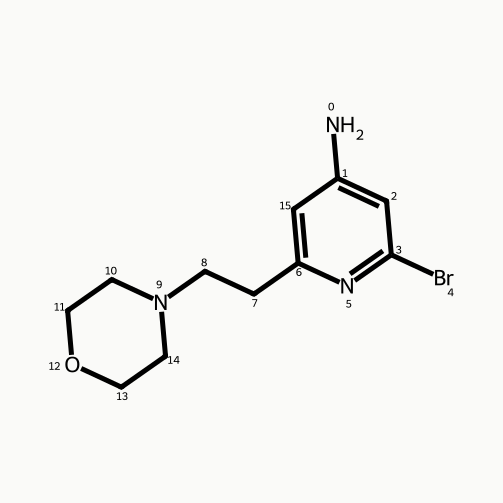 Nc1cc(Br)nc(CCN2CCOCC2)c1